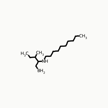 BCC(NCCCCCCCCCC)C(C)CC